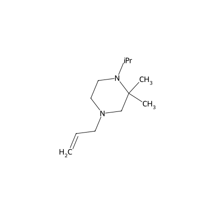 C=CCN1CCN(C(C)C)C(C)(C)C1